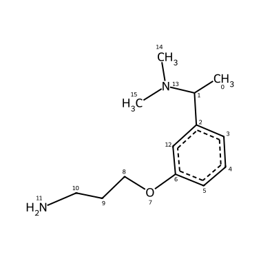 CC(c1cccc(OCCCN)c1)N(C)C